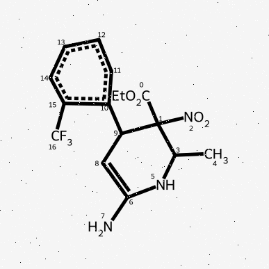 CCOC(=O)C1([N+](=O)[O-])C(C)NC(N)=CC1c1ccccc1C(F)(F)F